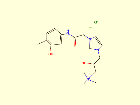 Cc1ccc(NC(=O)C[n+]2ccn(CC(O)C[N+](C)(C)C)c2)cc1O.[Cl-].[Cl-]